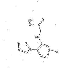 CC(C)(C)OC(=O)CNc1cc(Cl)ccc1-n1cnnn1